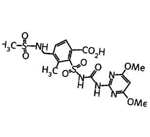 COc1cc(OC)nc(NC(=O)NS(=O)(=O)c2c(C(=O)O)ccc(CNS(C)(=O)=O)c2C)n1